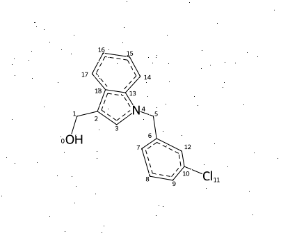 OCc1cn(Cc2cccc(Cl)c2)c2ccccc12